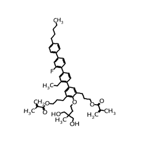 C=C(C)C(=O)OCCCc1cc(-c2ccc(-c3ccc(-c4ccc(CCCCC)cc4)cc3F)cc2CC)cc(CCCOC(=O)C(=C)C)c1OCCC(C)(CO)CO